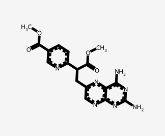 COC(=O)c1ccc(C(Cc2cnc3nc(N)nc(N)c3n2)C(=O)OC)nc1